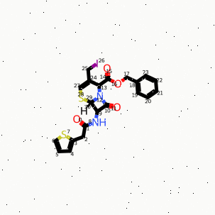 O=C(Cc1cccs1)NC1C(=O)N2C(C(=O)OCc3ccccc3)C(CI)=CS[C@@H]12